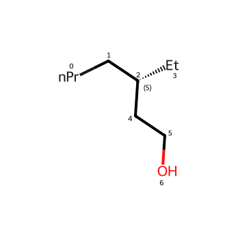 CCCC[C@H](CC)CCO